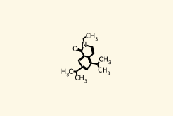 CCn1ccc2c(C(C)C)cc(C(C)C)cc2c1=O